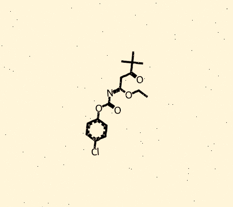 CCOC(CC(=O)C(C)(C)C)=NC(=O)Oc1ccc(Cl)cc1